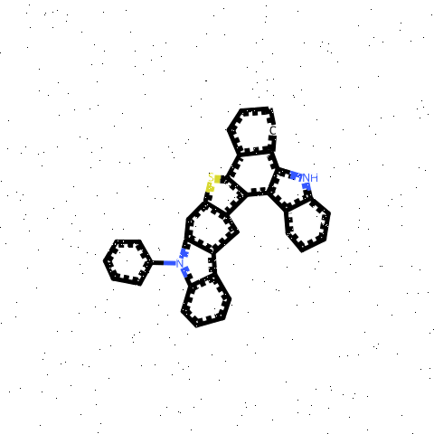 c1ccc(-n2c3ccccc3c3cc4c(cc32)sc2c3ccccc3c3[nH]c5ccccc5c3c42)cc1